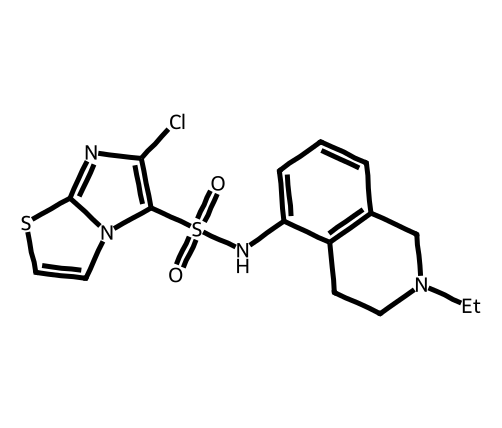 CCN1CCc2c(cccc2NS(=O)(=O)c2c(Cl)nc3sccn23)C1